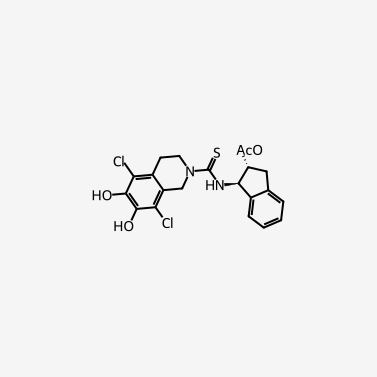 CC(=O)O[C@@H]1Cc2ccccc2[C@H]1NC(=S)N1CCc2c(Cl)c(O)c(O)c(Cl)c2C1